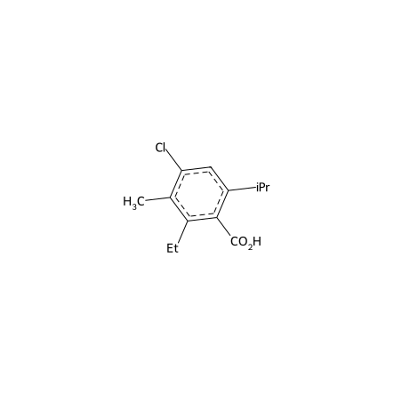 CCc1c(C)c(Cl)cc(C(C)C)c1C(=O)O